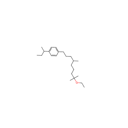 CCOC(C)(C)CCCC(C)CCCc1ccc(C(C)CC)cc1